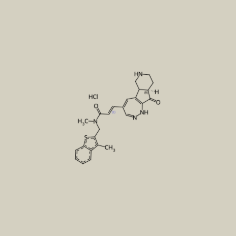 Cc1c(CN(C)C(=O)/C=C/C2=CC3=C(NN=C2)C(=O)[C@@H]2CCNCC32)sc2ccccc12.Cl